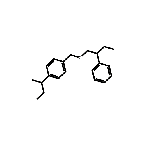 CCC(C)c1ccc(COCC(CC)c2ccccc2)cc1